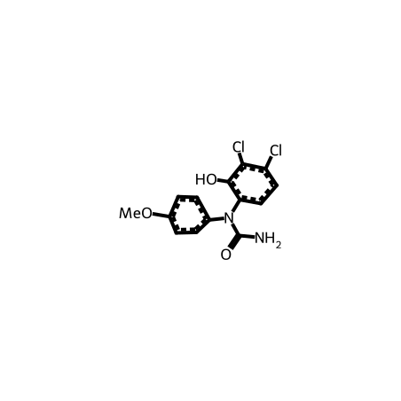 COc1ccc(N(C(N)=O)c2ccc(Cl)c(Cl)c2O)cc1